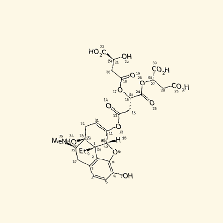 CC[C@]12c3c4ccc(O)c3O[C@H]1C(OC(=O)C[C@H](OC(=O)C[C@H](O)C(=O)O)C(=O)O[C@@H](CC(=O)O)C(=O)O)=CC[C@@]2(O)[C@H](NC)C4